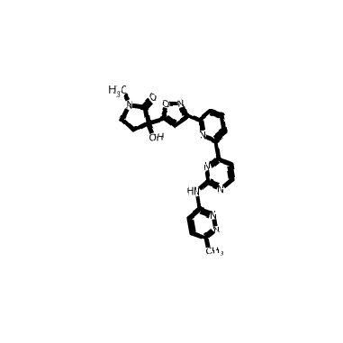 Cc1ccc(Nc2nccc(-c3cccc(-c4cc(C5(O)CCN(C)C5=O)on4)n3)n2)nn1